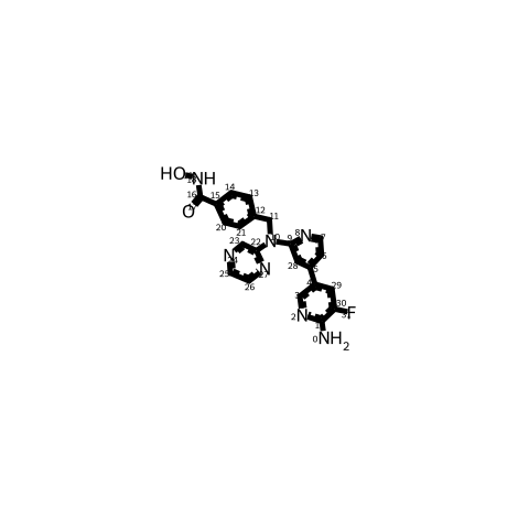 Nc1ncc(-c2ccnc(N(Cc3ccc(C(=O)NO)cc3)c3cnccn3)c2)cc1F